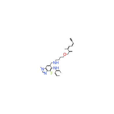 C#C/C=C\C=C(\C)C(=C)COCCCCNCc1cc2c(ncn2C)c(F)c1NC(/C=C\C)=C/C